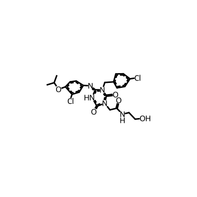 CC(C)Oc1ccc(/N=c2\[nH]c(=O)n(CC(=O)NCCO)c(=O)n2Cc2ccc(Cl)cc2)cc1Cl